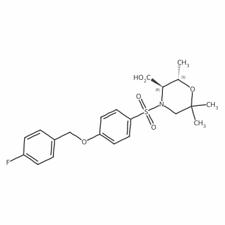 C[C@@H]1OC(C)(C)CN(S(=O)(=O)c2ccc(OCc3ccc(F)cc3)cc2)[C@H]1C(=O)O